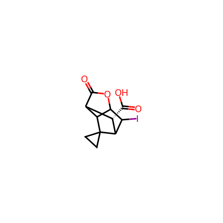 O=C1OC2C(I)C3[C@@H](C(=O)O)C1C2C31CC1